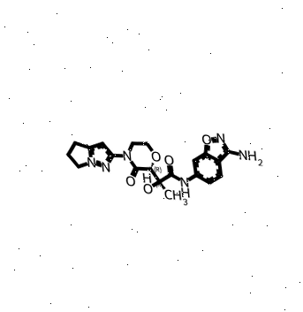 C[C@](O)(C(=O)Nc1ccc2c(N)noc2c1)[C@H]1OCCN(c2cc3n(n2)CCC3)C1=O